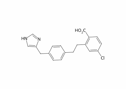 O=C(O)c1ccc(Cl)cc1CCc1ccc(Cc2c[nH]cn2)cc1